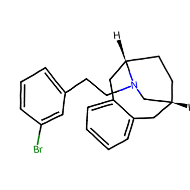 Brc1cccc(CCN2C[C@@H]3CC[C@H]2Cc2ccccc2C3)c1